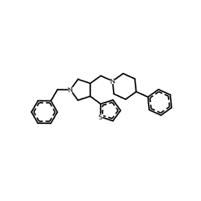 c1ccc(CN2CC(CN3CCC(c4ccccc4)CC3)C(c3cccs3)C2)cc1